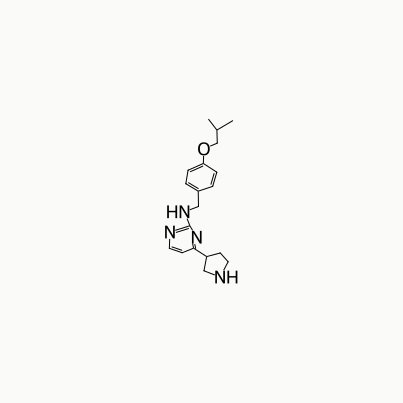 CC(C)COc1ccc(CNc2nccc(C3CCNC3)n2)cc1